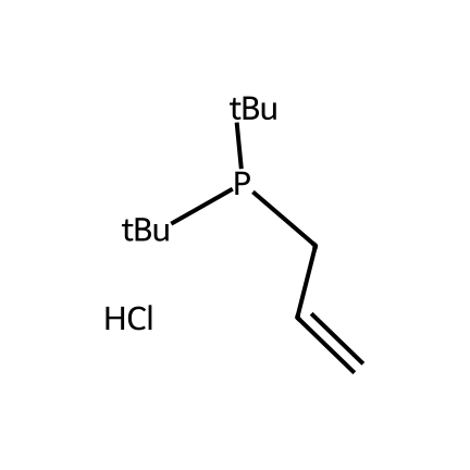 C=CCP(C(C)(C)C)C(C)(C)C.Cl